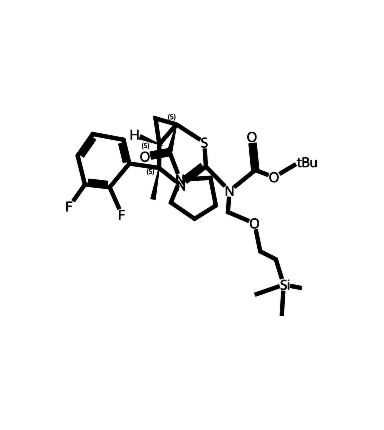 CC(C)(C)OC(=O)N(COCC[Si](C)(C)C)C1=N[C@](C)(c2cccc(F)c2F)[C@@H]2C[C@]2(C(=O)N2CCCC2)S1